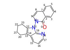 O=c1c2ccccc2ccn1-n1c2c(c3cccnc31)CCCC2